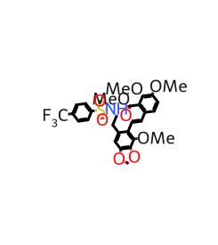 COC(=O)c1c(/C=C/c2c(CCNS(=O)(=O)c3ccc(C(F)(F)F)cc3)cc3c(c2OC)OCO3)ccc(OC)c1OC